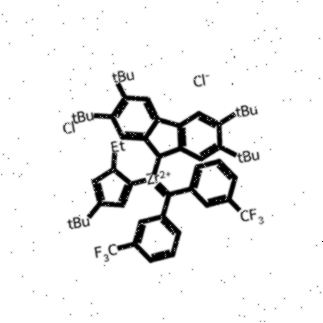 CCC1C=C(C(C)(C)C)C=[C]1[Zr+2](=[C](c1cccc(C(F)(F)F)c1)c1cccc(C(F)(F)F)c1)[CH]1c2cc(C(C)(C)C)c(C(C)(C)C)cc2-c2cc(C(C)(C)C)c(C(C)(C)C)cc21.[Cl-].[Cl-]